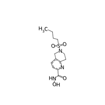 CCCCS(=O)(=O)N1CCc2nc(C(=O)NO)ccc2C1